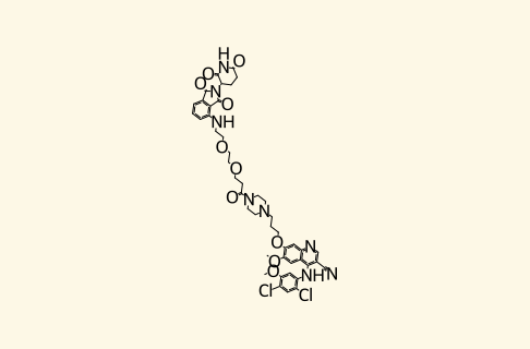 COc1cc(Nc2c(C#N)cnc3cc(OCCCN4CCN(C(=O)CCOCCOCCNc5cccc6c5C(=O)N(C5CCC(=O)NC5=O)C6=O)CC4)c(OC)cc23)c(Cl)cc1Cl